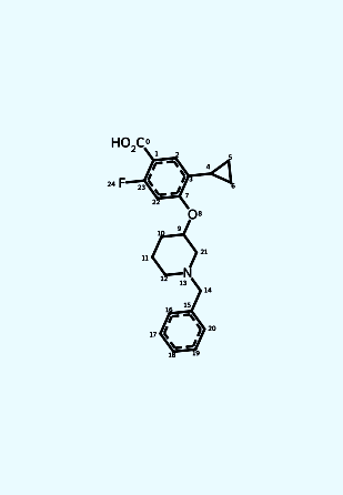 O=C(O)c1cc(C2CC2)c(OC2CCCN(Cc3ccccc3)C2)cc1F